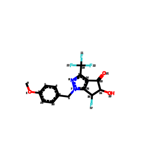 COc1ccc(Cn2nc(C(F)(F)F)c3c2C(F)C(O)C3=O)cc1